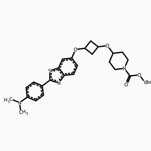 CN(C)c1ccc(-c2nc3ccc(OC4CC(OC5CCN(C(=O)OC(C)(C)C)CC5)C4)cc3s2)cc1